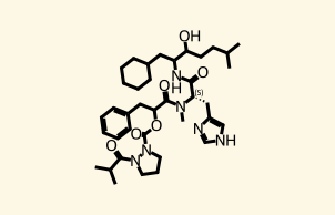 CC(C)CCC(O)C(CC1CCCCC1)NC(=O)[C@H](Cc1c[nH]cn1)N(C)C(=O)C(Cc1ccccc1)OC(=O)N1CCCN1C(=O)C(C)C